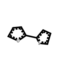 [c]1coc(-c2cccs2)c1